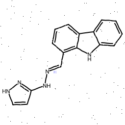 C(=N\Nc1cc[nH]n1)/c1cccc2c1[nH]c1ccccc12